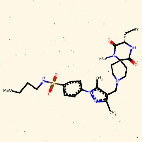 CCCCN1C(=O)[C@H](CC(C)C)NC(=O)C12CCN(Cc1c(C)nn(-c3ccc(S(=O)(=O)NCCCOC)cc3)c1C)CC2